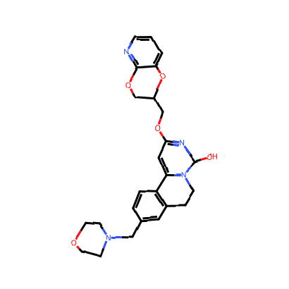 OC1N=C(OCC2COc3ncccc3O2)C=C2c3ccc(CN4CCOCC4)cc3CCN21